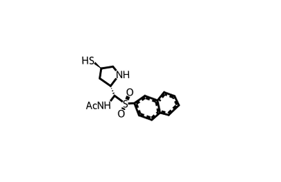 CC(=O)NC([C@@H]1C[C@@H](S)CN1)S(=O)(=O)c1ccc2ccccc2c1